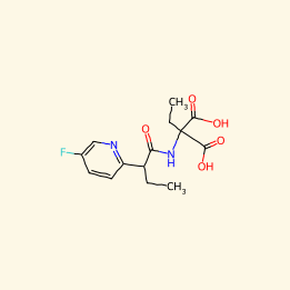 CCC(C(=O)NC(CC)(C(=O)O)C(=O)O)c1ccc(F)cn1